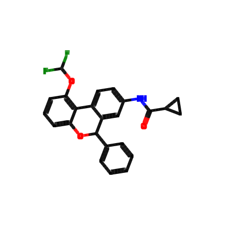 O=C(Nc1ccc2c(c1)C(c1ccccc1)Oc1cccc(OC(F)F)c1-2)C1CC1